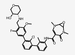 COc1cc(-c2cccc(-c3cccc(NC(=O)C4=CN(C)C5OC5N(C)C4=O)c3C)c2Cl)cc(F)c1CN[C@H]1CCOC[C@@H]1O